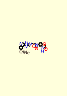 COc1ccc2nccc(NC3CN(CC4CN(c5ccc6c(c5)NC(=O)CO6)C(=O)O4)C3)c2c1